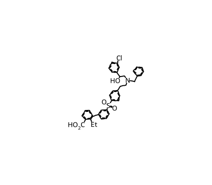 CCc1c(C(=O)O)cccc1-c1cccc(S(=O)(=O)c2ccc(CCN(Cc3ccccc3)CC(O)c3cccc(Cl)c3)cc2)c1